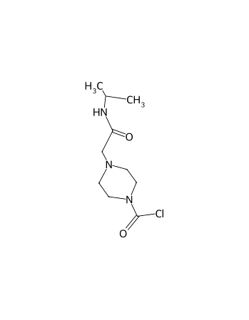 CC(C)NC(=O)CN1CCN(C(=O)Cl)CC1